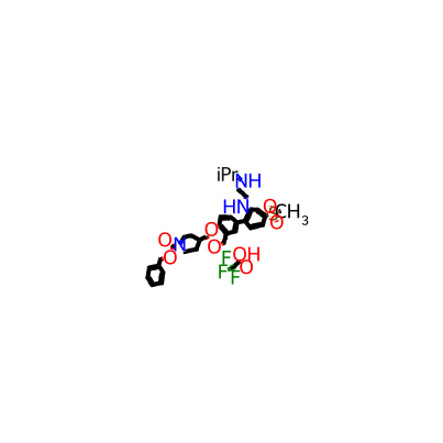 CC(C)NCCNc1cc(S(C)(=O)=O)ccc1-c1ccc2c(c1)COC(C1CCN(C(=O)OCc3ccccc3)CC1)O2.O=C(O)C(F)(F)F